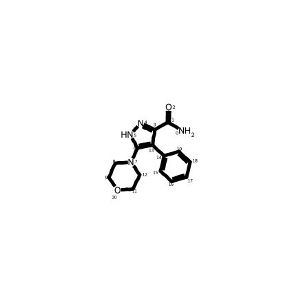 NC(=O)c1n[nH]c(N2CCOCC2)c1-c1ccccc1